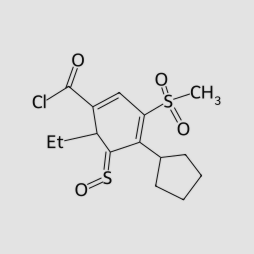 CCC1C(C(=O)Cl)=CC(S(C)(=O)=O)=C(C2CCCC2)C1=S=O